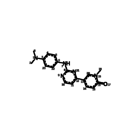 CN(C)c1ccc(Nc2nccc(-c3ccc(=O)n(C)c3)n2)cc1